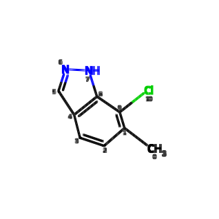 Cc1ccc2cn[nH]c2c1Cl